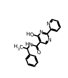 CC(NC(=O)c1cnc(-c2ccccn2)nc1O)c1cc[c]cc1